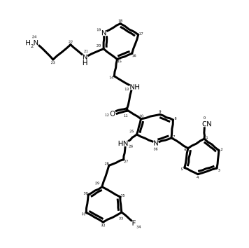 N#Cc1ccccc1-c1ccc(C(=O)NCc2cccnc2NCCN)c(NCCc2cccc(F)c2)n1